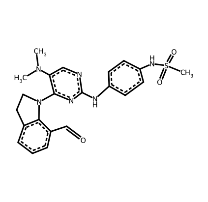 CN(C)c1cnc(Nc2ccc(NS(C)(=O)=O)cc2)nc1N1CCc2cccc(C=O)c21